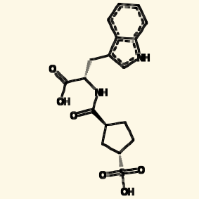 O=C(N[C@@H](Cc1c[nH]c2ccccc12)C(=O)O)[C@H]1CC[C@H](S(=O)(=O)O)C1